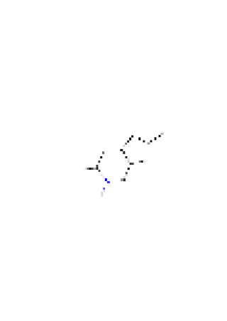 CC1CCC(CN(C)C(C)C)C1